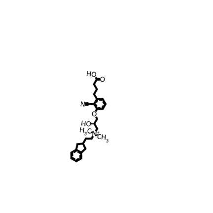 C[N+](C)(CCC1Cc2ccccc2C1)C[C@@H](O)COc1cccc(CCCC(=O)O)c1C#N